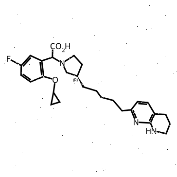 O=C(O)C(c1cc(F)ccc1OC1CC1)N1CC[C@@H](CCCCCc2ccc3c(n2)NCCC3)C1